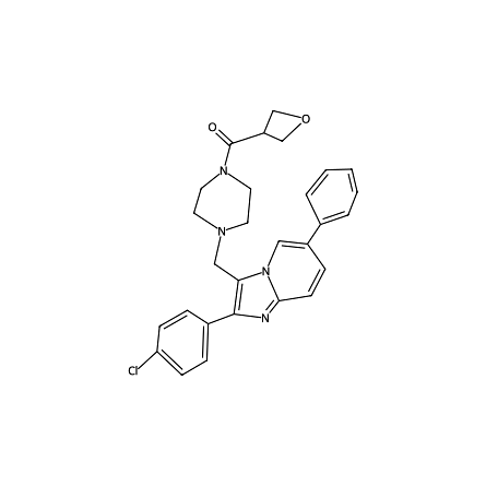 O=C(C1COC1)N1CCN(Cc2c(-c3ccc(Cl)cc3)nc3ccc(-c4ccccc4)cn23)CC1